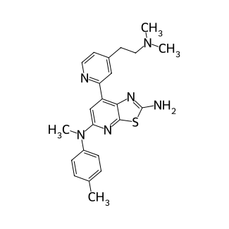 Cc1ccc(N(C)c2cc(-c3cc(CCN(C)C)ccn3)c3nc(N)sc3n2)cc1